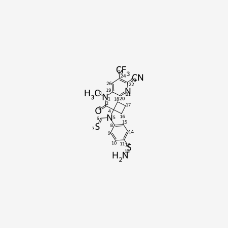 CN(C(=O)C1(N(C=S)c2ccc(SN)cc2)CCC1)c1cnc(C#N)c(C(F)(F)F)c1